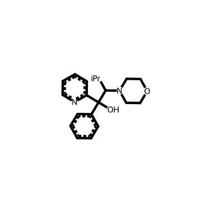 CC(C)C(N1CCOCC1)C(O)(c1ccccc1)c1ccccn1